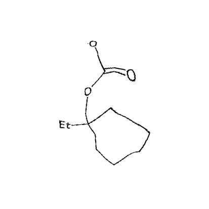 CCC1(OC([O])=O)CCCCC1